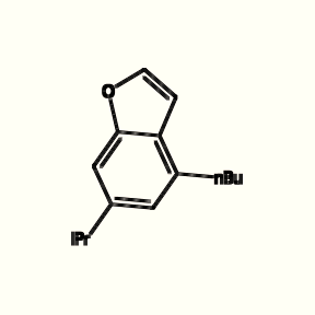 CCCCc1cc(C(C)C)cc2occc12